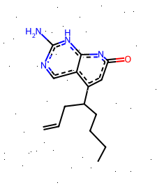 C=CCC(CCCC)c1cc(=O)nc2[nH]c(N)ncc1-2